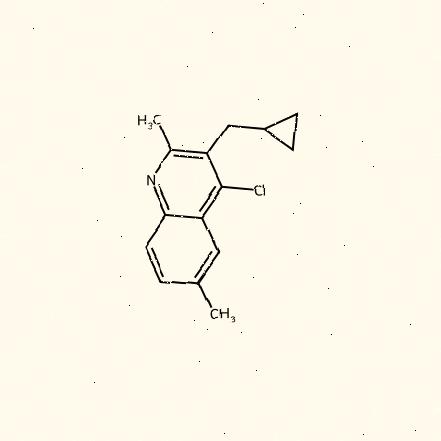 Cc1ccc2nc(C)c(CC3CC3)c(Cl)c2c1